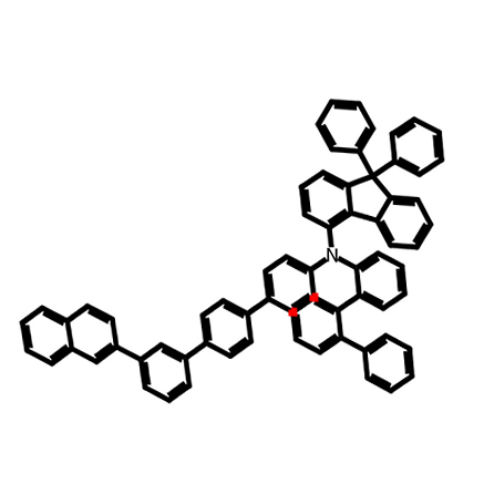 c1ccc(-c2ccccc2-c2ccccc2N(c2ccc(-c3ccc(-c4cccc(-c5ccc6ccccc6c5)c4)cc3)cc2)c2cccc3c2-c2ccccc2C3(c2ccccc2)c2ccccc2)cc1